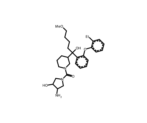 CCc1ccccc1Oc1ccccc1C(O)(CCCCOC)C1CCCN(C(=O)N2CC(N)C(O)C2)C1